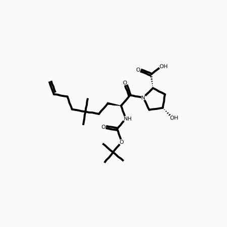 C=CCCC(C)(C)CC[C@H](NC(=O)OC(C)(C)C)C(=O)N1C[C@@H](O)C[C@H]1C(=O)O